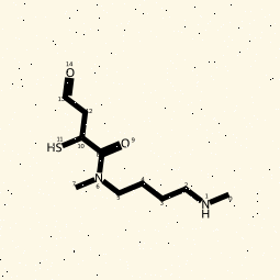 CNCCCCN(C)C(=O)C(S)CC=O